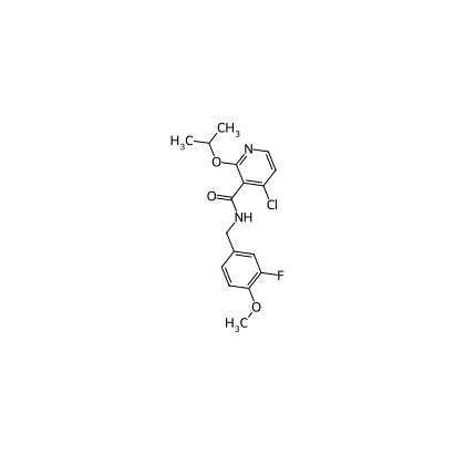 COc1ccc(CNC(=O)c2c(Cl)ccnc2OC(C)C)cc1F